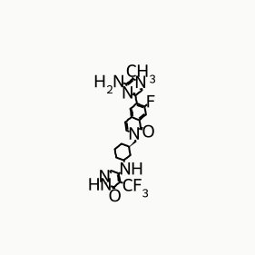 Cc1ncc(-c2cc3ccn(C[C@@H]4CCC[C@H](Nc5cn[nH]c(=O)c5C(F)(F)F)C4)c(=O)c3cc2F)nc1N